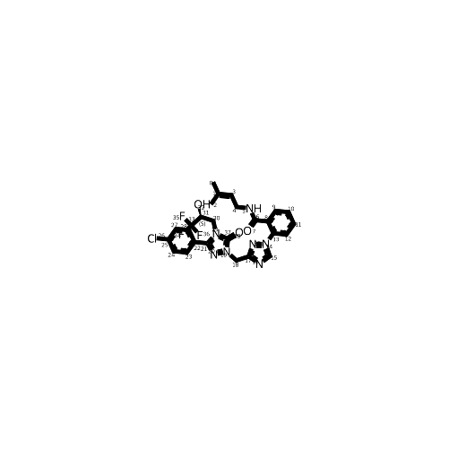 CC(C)=CCNC(=O)c1ccccc1-n1cnc(Cn2nc(-c3ccc(Cl)cc3)n(C[C@H](O)C(F)(F)F)c2=O)n1